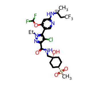 CCn1nc(C(=O)NC[C@]2(O)CC[C@@H](S(C)(=O)=O)CC2)c(Cl)c1-c1cnc(N[C@@H](C)CC(F)(F)F)cc1OC(F)F